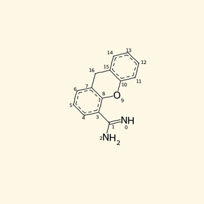 N=C(N)c1cccc2c1Oc1ccccc1C2